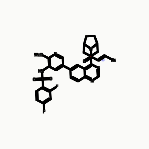 COc1ncc(-c2ccc3ncnc(N4CC5CCC(C4)N5C(=O)/C=C/C(C)=O)c3c2)cc1NS(=O)(=O)c1ccc(F)cc1F